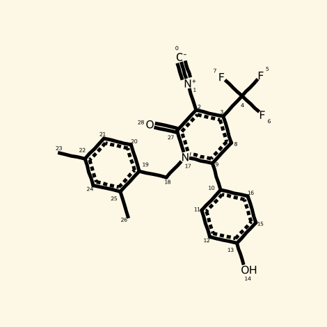 [C-]#[N+]c1c(C(F)(F)F)cc(-c2ccc(O)cc2)n(Cc2ccc(C)cc2C)c1=O